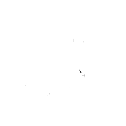 CN1CCC[C@@H]2C(=O)c3c(c(Cl)cc4c3OCO4)C[C@H]21